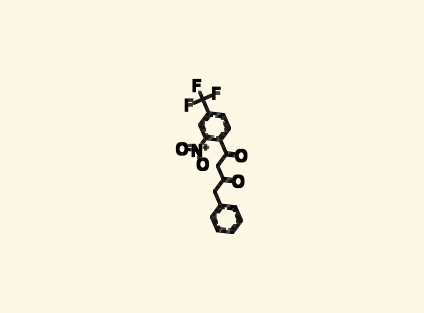 O=C(CC(=O)c1ccc(C(F)(F)F)cc1[N+](=O)[O-])Cc1ccccc1